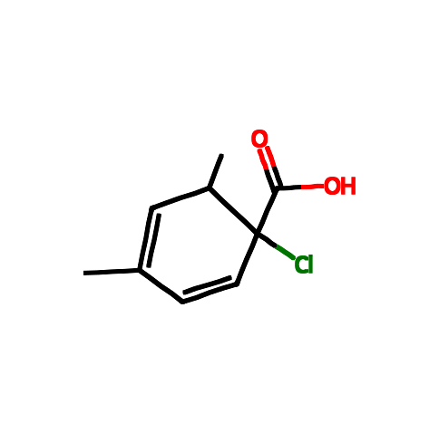 CC1=CC(C)C(Cl)(C(=O)O)C=C1